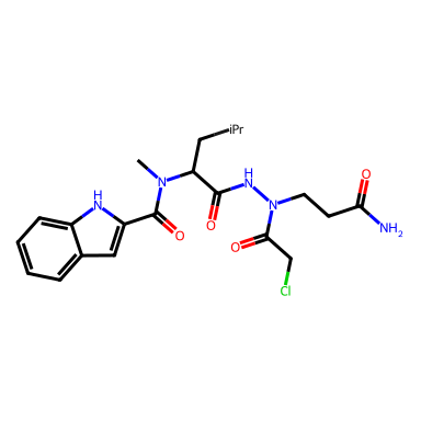 CC(C)CC(C(=O)NN(CCC(N)=O)C(=O)CCl)N(C)C(=O)c1cc2ccccc2[nH]1